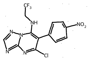 O=[N+]([O-])c1ccc(-c2c(Cl)nc3ncnn3c2NCC(F)(F)F)cc1